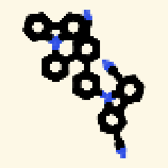 N#Cc1ccc(-c2cccc(-n3c4ccc(C#N)cc4c4cccc(C#N)c43)c2)c(-c2ccccc2-n2c3ccccc3c3ccccc32)c1